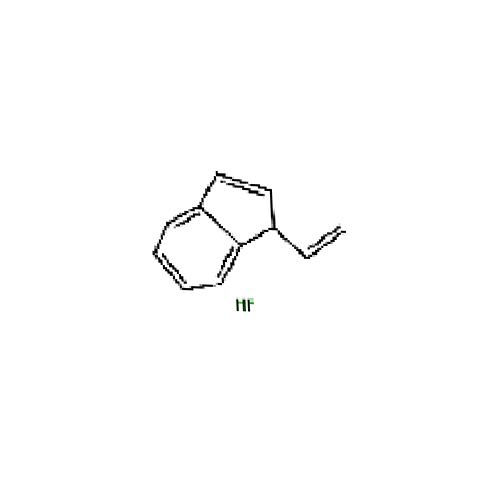 C=CC1C=Cc2ccccc21.F